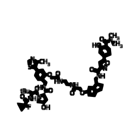 Cc1ncsc1-c1ccc(CNC(=O)[C@@H]2C[C@@H](O)CN2C(=O)C(NC(=O)C2(F)CC2)C(C)(C)C)c(OCC(=O)NCCNC(=O)COc2ccc3c(c2)C(CNC(=O)c2cc(-c4ccc(C(=O)N(C)C)c(O)c4)on2)CC3)c1